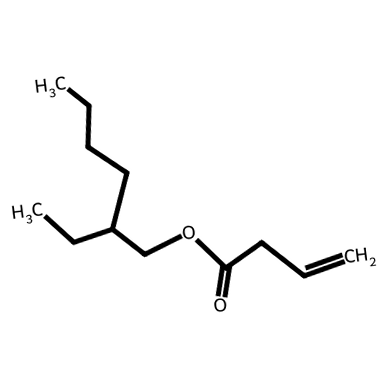 C=CCC(=O)OCC(CC)CCCC